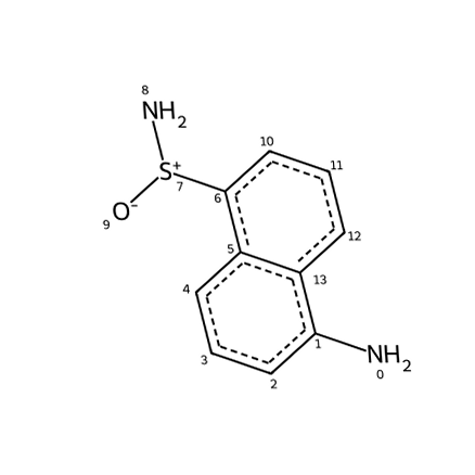 Nc1cccc2c([S+](N)[O-])cccc12